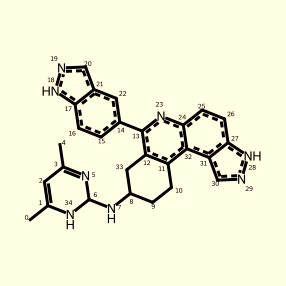 CC1=CC(C)=NC(NC2CCc3c(c(-c4ccc5[nH]ncc5c4)nc4ccc5[nH]ncc5c34)C2)N1